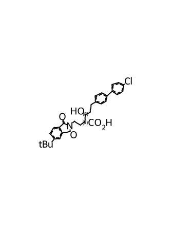 CC(C)(C)c1ccc2c(c1)C(=O)N(CC[C@@H](C(=O)O)[C@@H](O)CCc1ccc(-c3ccc(Cl)cc3)cc1)C2=O